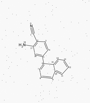 N#Cc1ccc(-c2cccc3ccccc23)cc1N